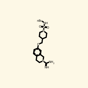 CCCCNS(=O)(=O)N1CCC(COc2ccc3c(c2)CN(C(=N)N)CC3)CC1